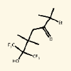 CCC(C)(C)C(=O)CC(C)(C)C(O)(C(F)(F)F)C(F)(F)F